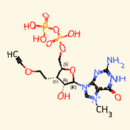 C#COCC[C@H]1[C@@H](O)[C@H](n2c[n+](C)c3c(=O)[nH]c(N)nc32)O[C@@H]1COP(=O)(O)OP(=O)(O)O